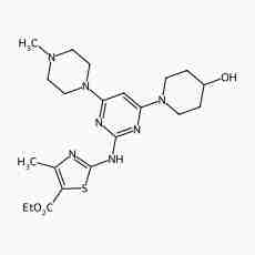 CCOC(=O)c1sc(Nc2nc(N3CCC(O)CC3)cc(N3CCN(C)CC3)n2)nc1C